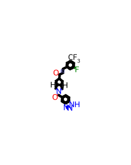 O=C(/C=C/c1cc(F)cc(C(F)(F)F)c1)C1C[C@@H]2CN(C(=O)c3ccc4[nH]nnc4c3)C[C@@H]2C1